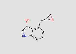 Oc1c[nH]c2cccc(CC3CO3)c12